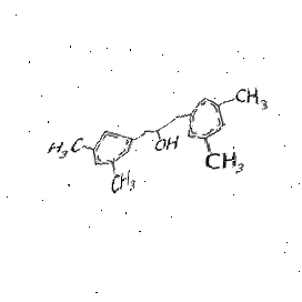 Cc1cc(C)cc(CC(O)Cc2cc(C)cc(C)c2)c1